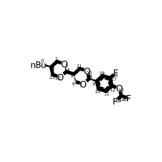 CCCC[C@H]1CO[C@H]([C@H]2CO[C@H](c3ccc(OC(F)F)c(F)c3)OC2)OC1